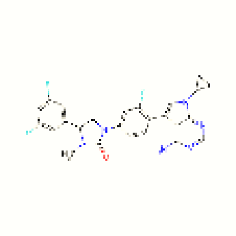 CN1C(=O)N(c2ccc(-c3cn(C4CC4)c4ncnc(N)c34)c(F)c2)CC1c1cc(F)cc(F)c1